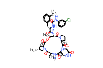 Cc1cccc(C[C@H](NC(=O)Nc2cccc(Cl)c2)C(=O)N[C@@H]2C(=O)N3CCC[C@H]3C(=O)N3CC(=O)NC[C@H]3C(=O)N[C@@H](C)C(=O)N3C[C@H](C)C[C@H]3C(=O)O[C@H]2C)c1